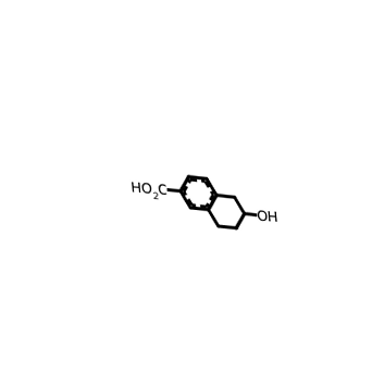 O=C(O)c1ccc2c(c1)CCC(O)C2